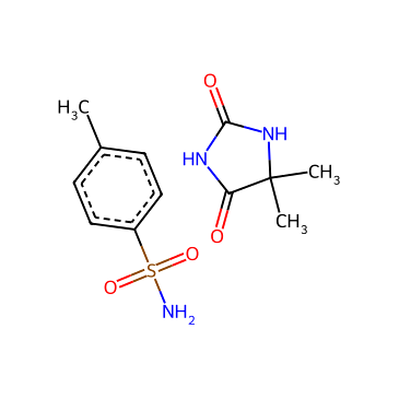 CC1(C)NC(=O)NC1=O.Cc1ccc(S(N)(=O)=O)cc1